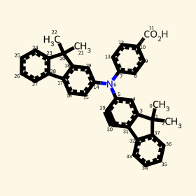 CC1(C)c2cc(N(c3ccc(C(=O)O)cc3)c3ccc4c(c3)C(C)(C)c3ccccc3-4)c#cc2-c2ccccc21